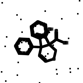 O=C(O)C1(C(=O)O)COC=CC1(c1ccccc1)c1ccccc1